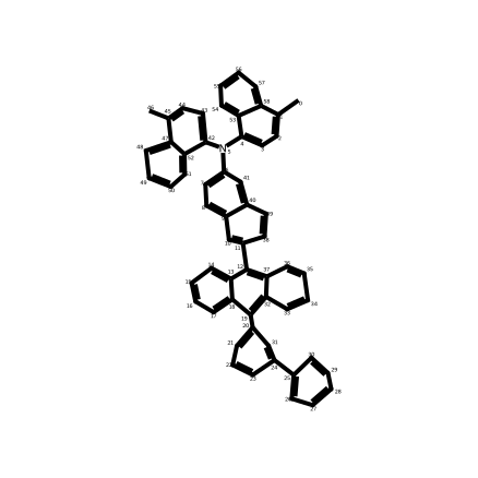 Cc1ccc(N(c2ccc3cc(-c4c5ccccc5c(-c5cccc(-c6ccccc6)c5)c5ccccc45)ccc3c2)c2ccc(C)c3ccccc23)c2ccccc12